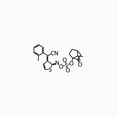 Cc1ccccc1/C(C#N)=C1\C=CS\C1=N/OS(=O)(=O)OC12CCC(CC1=O)C2(C)C